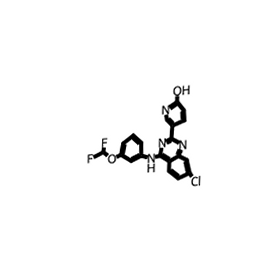 Oc1ccc(-c2nc(Nc3cccc(OC(F)F)c3)c3ccc(Cl)cc3n2)cn1